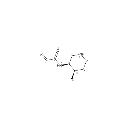 C=CC(=O)N[C@H]1CNCC[C@H]1C